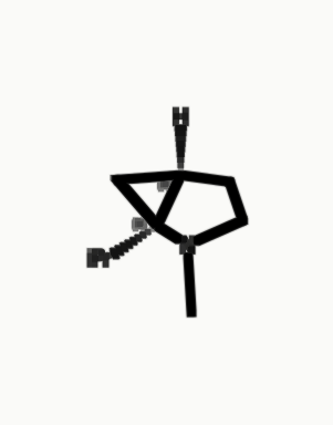 CC(C)[C@]12C[C@H]1CCN2C